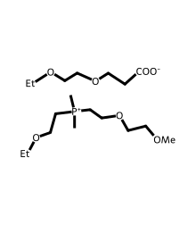 CCOCCOCCC(=O)[O-].CCOCC[P+](C)(C)CCOCCOC